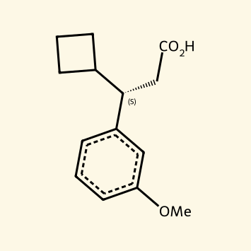 COc1cccc([C@@H](CC(=O)O)C2CCC2)c1